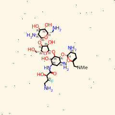 CNCC1=CC[C@@H](N)[C@@H](O[C@H]2[C@H](O[C@@H]3O[C@H](CO)[C@@H](O[C@H]4O[C@@H](CN)[C@@H](O)[C@H](O)[C@H]4N)[C@H]3O)[C@@H](O)[C@H](NC(=O)C(O)[C@@H](F)CN)C[C@@H]2N)O1